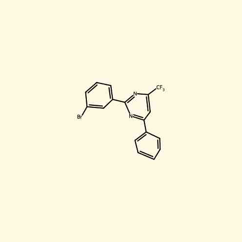 FC(F)(F)c1cc(-c2ccccc2)nc(-c2cccc(Br)c2)n1